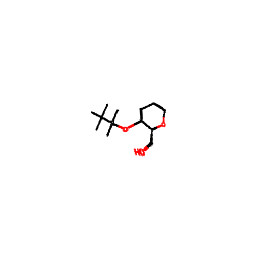 CC(C)(C)[Si](C)(C)OC1CCCO[C@H]1CO